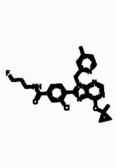 Cc1ccnc(Cn2c(-c3ccc(C(=O)NCCCF)cc3Cl)nc3c(OC4(C)CC4)ncnc32)c1